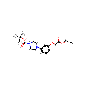 CCOC(=O)COc1cccc(N2CCN(C(=O)OC(C)(C)C)CC2)c1